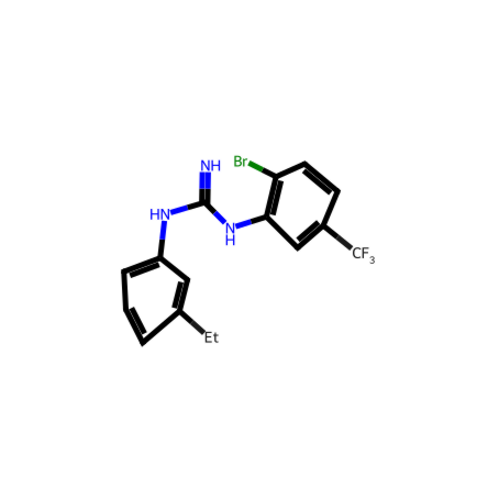 CCc1cccc(NC(=N)Nc2cc(C(F)(F)F)ccc2Br)c1